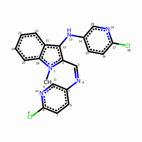 Cn1c(/C=N\c2ccc(Cl)nc2)c(Nc2ccc(Cl)nc2)c2ccccc21